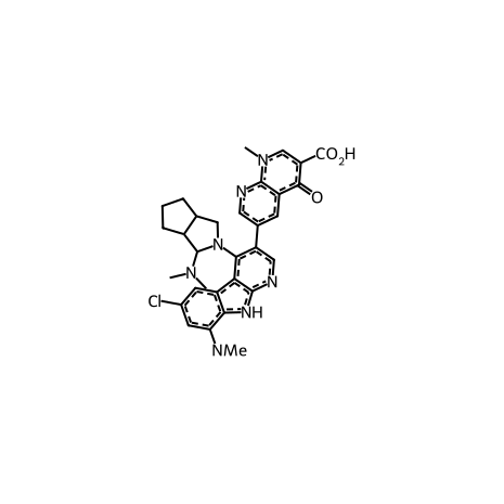 CNc1cc(Cl)cc2c1[nH]c1ncc(-c3cnc4c(c3)c(=O)c(C(=O)O)cn4C)c(N3CC4CCCC4C3N(C)C)c12